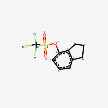 O=S(=O)(Oc1cccc2c1CCC2)C(F)(F)F